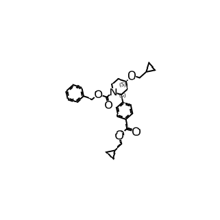 O=C(OCC1CC1)c1ccc([C@@H]2C[C@@H](OCC3CC3)CCN2C(=O)OCc2ccccc2)cc1